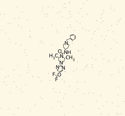 C[C@@H]1CN(c2ncc(OC(F)F)cn2)C[C@@H](C)N1C(=O)NC1CCN(Cc2ccccc2)CC1